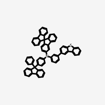 c1ccc(C2(c3ccc(N(c4cccc(-c5ccc6sc7ccccc7c6c5)c4)c4ccc5c(c4)-c4ccccc4C54c5ccccc5-c5ccccc54)cc3)c3ccccc3-c3ccccc32)cc1